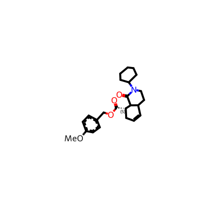 COc1ccc(COC(=O)[C@H]2CC=CC3CCN(C4CCCCC4)C(=O)C32)cc1